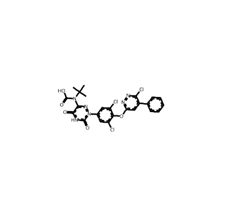 CC(C)(C)N(C(=O)O)c1nn(-c2cc(Cl)c(Oc3cc(-c4ccccc4)c(Cl)nn3)c(Cl)c2)c(=O)[nH]c1=O